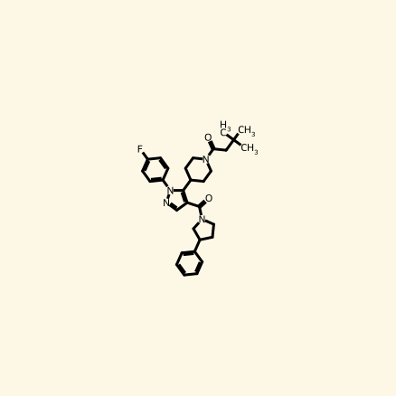 CC(C)(C)CC(=O)N1CCC(c2c(C(=O)N3CCC(c4ccccc4)C3)cnn2-c2ccc(F)cc2)CC1